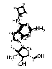 C[C@@]1(F)[C@H](O)[C@@H](CO)O[C@H]1n1cnc2c(NC3CCC3)nc(N)nc21